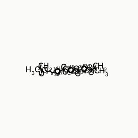 C=C(C)C(=O)OCCCc1ccc(C(=O)Oc2ccc(OC(=O)c3ccc(OC(=O)C(=C)C)cc3)cc2)cc1